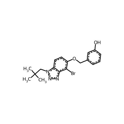 CC(C)(C)Cn1nnc2c(Br)c(OCc3cccc(O)c3)ccc21